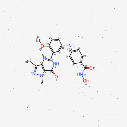 CCCc1nn(C)c2c(=O)[nH]c(-c3cc(Nc4ccc(C(=O)NO)cc4)ccc3OCC)nc12